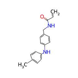 C=CC(=O)NCc1ccc(Nc2ccc(C)cc2)cc1